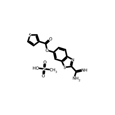 CS(=O)(=O)O.N=C(N)c1nc2ccc(OC(=O)c3ccsc3)cc2s1